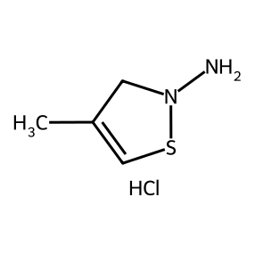 CC1=CSN(N)C1.Cl